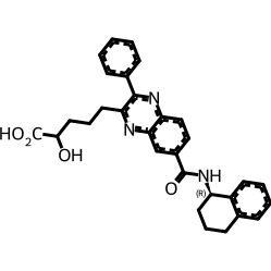 O=C(N[C@@H]1CCCc2ccccc21)c1ccc2nc(-c3ccccc3)c(CCCC(O)C(=O)O)nc2c1